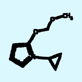 COCOc1cccn1C1CC1